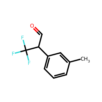 Cc1cccc(C(C=O)C(F)(F)F)c1